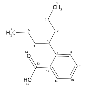 CCCC(CCC)c1ccccc1C(=O)O